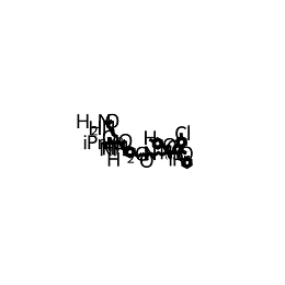 Cc1ccc(C(=O)N(CCCNC(=O)OCc2ccc(NC(=O)[C@H](CCCNC(N)=O)NC(=O)[C@@H](N)C(C)C)cc2)[C@@H](c2oc3cc(Cl)ccc3c(=O)c2Cc2ccccc2)C(C)C)cc1